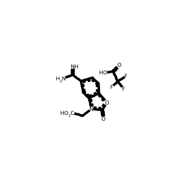 N=C(N)c1ccc2oc(=O)n(CC(=O)O)c2c1.O=C(O)C(F)(F)F